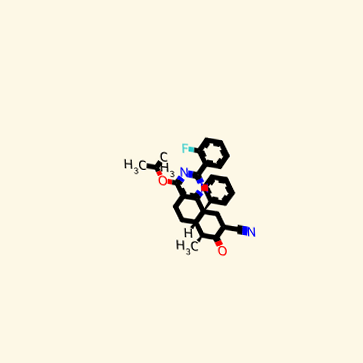 CC(C)Oc1nc(-c2ccccc2F)nc2c1CC[C@H]1[C@H](C)C(=O)C(C#N)C[C@@]21c1ccccc1